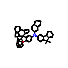 CC1(C)c2ccccc2-c2cc(N(c3ccc4c(c3)C3(c5ccccc5-4)c4ccccc4-c4cccc5ccc(-c6ccccc6)c3c45)c3ccc4ccccc4c3)ccc21